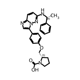 C[C@@H](Nc1ccc2ncc(-c3ccc(OC[C@@H]4CCCN4C(=O)O)cc3)n2n1)c1ccccc1